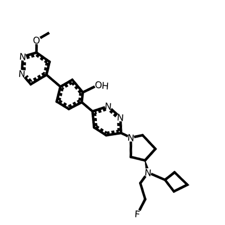 COc1cc(-c2ccc(-c3ccc(N4CC[C@@H](N(CCF)C5CCC5)C4)nn3)c(O)c2)cnn1